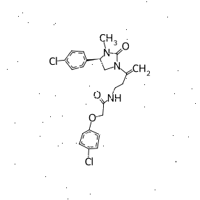 C=C(CCNC(=O)COc1ccc(Cl)cc1)N1C[C@@H](c2ccc(Cl)cc2)N(C)C1=O